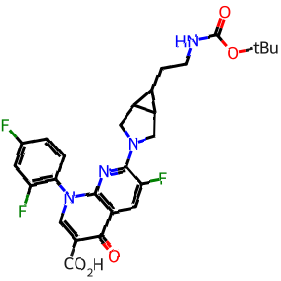 CC(C)(C)OC(=O)NCCC1C2CN(c3nc4c(cc3F)c(=O)c(C(=O)O)cn4-c3ccc(F)cc3F)CC12